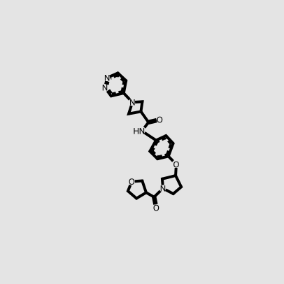 O=C(Nc1ccc(OC2CCN(C(=O)C3CCOC3)C2)cc1)C1CN(c2ccnnc2)C1